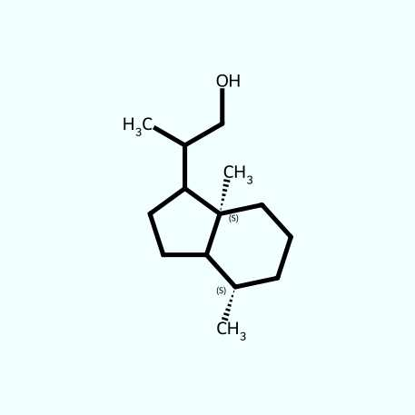 CC(CO)C1CCC2[C@@H](C)CCC[C@]12C